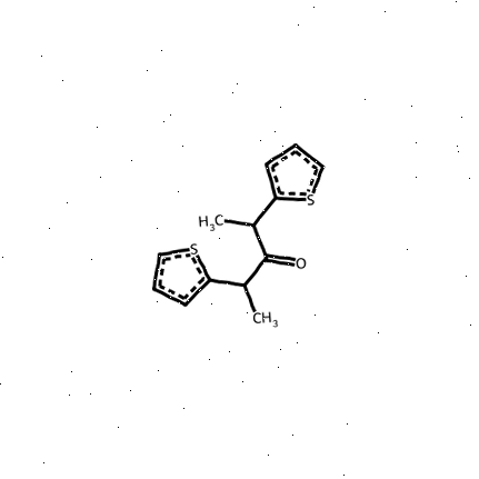 CC(C(=O)C(C)c1cccs1)c1cccs1